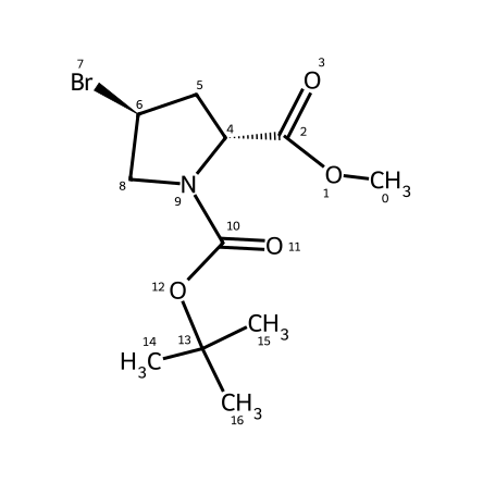 COC(=O)[C@H]1C[C@H](Br)CN1C(=O)OC(C)(C)C